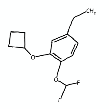 CCc1ccc(OC(F)F)c(OC2CCC2)c1